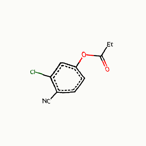 CCC(=O)Oc1ccc(C#N)c(Cl)c1